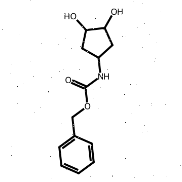 O=C(NC1CC(O)C(O)C1)OCc1ccccc1